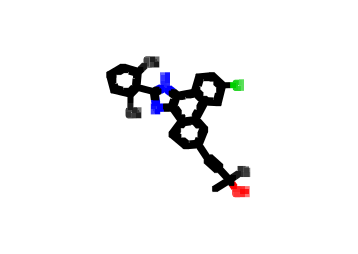 CCC(C)(O)C#Cc1ccc2c(c1)c1cc(Cl)ccc1c1[nH]c(-c3c(C#N)cccc3C#N)nc21